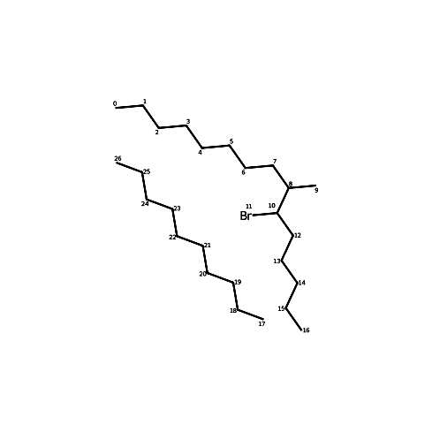 CCCCCCCCC(C)C(Br)CCCCC.CCCCCCCCCC